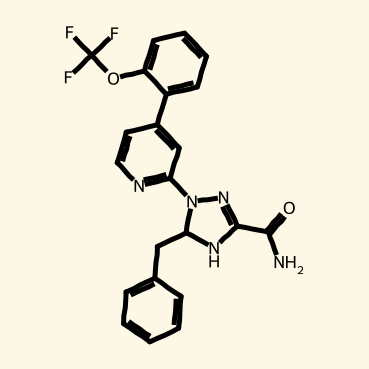 NC(=O)C1=NN(c2cc(-c3ccccc3OC(F)(F)F)ccn2)C(Cc2ccccc2)N1